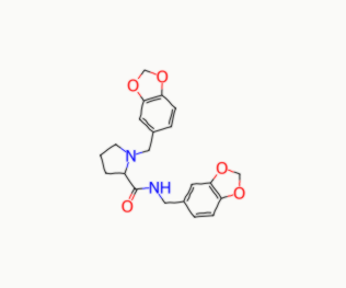 O=C(NCc1ccc2c(c1)OCO2)C1CCCN1Cc1ccc2c(c1)OCO2